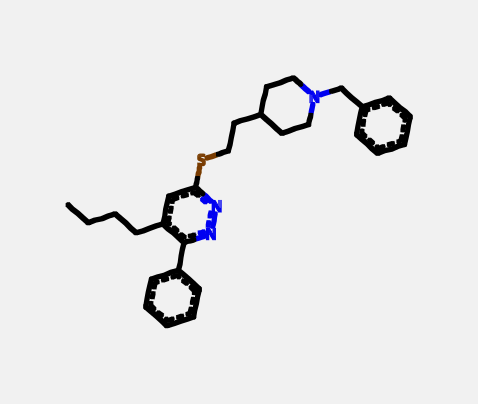 CCCCc1cc(SCCC2CCN(Cc3ccccc3)CC2)nnc1-c1ccccc1